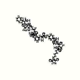 CN[C@H](C(=O)N[C@H](C(=O)N(C)C/C=C(\C)C(=O)NS(=O)(=O)Cc1cccc(CNC(=O)OCc2ccc(NC(=O)CNC(=O)C(NC(=O)CCCCCN3C(=O)CCC3=O)C(C)C)cc2)c1)C(C)(C)C)C(C)(C)c1ccccc1